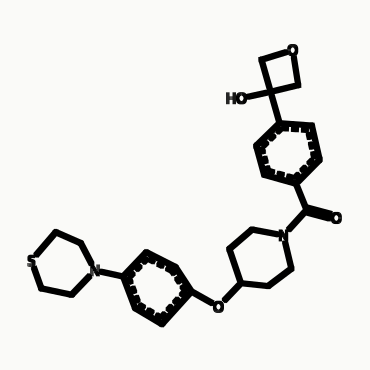 O=C(c1ccc(C2(O)COC2)cc1)N1CCC(Oc2ccc(N3CCSCC3)cc2)CC1